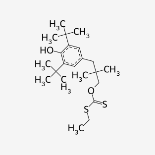 CCSC(=S)OCC(C)(C)Cc1cc(C(C)(C)C)c(O)c(C(C)(C)C)c1